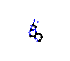 Nc1cn2c(ncc3ncccc32)n1